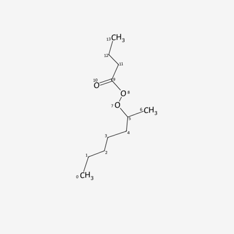 CCCCCC(C)OOC(=O)CCC